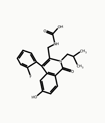 CC(C)Cn1c(CNC(=O)O)c(-c2ccccc2F)c2cc(O)ccc2c1=O